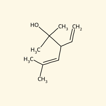 C=CC(C=C(C)C)C(C)(C)O